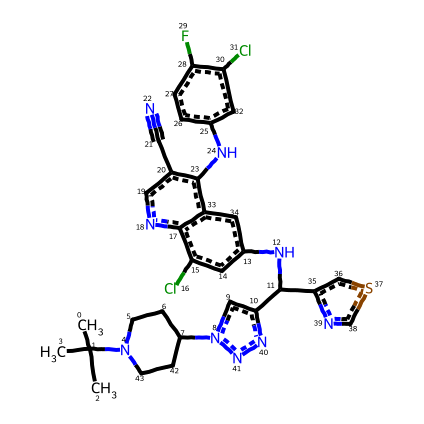 CC(C)(C)N1CCC(n2cc(C(Nc3cc(Cl)c4ncc(C#N)c(Nc5ccc(F)c(Cl)c5)c4c3)c3cscn3)nn2)CC1